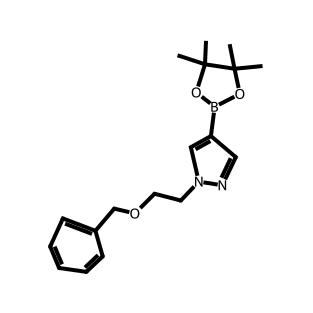 CC1(C)OB(c2cnn(CCOCc3ccccc3)c2)OC1(C)C